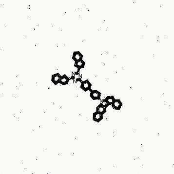 c1ccc2cc(-c3nc(-c4ccc(-c5ccc(-n6c7cc8ccccc8cc7c7c8ccccc8ccc76)cc5)cc4)nc(-c4ccc5ccccc5c4)n3)ccc2c1